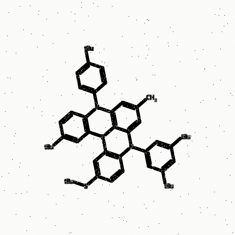 Cc1cc2c3c(c1)N(c1ccc(C(C)(C)C)cc1)c1ccc(C(C)(C)C)cc1B3c1cc(SC(C)(C)C)ccc1N2c1cc(C(C)(C)C)cc(C(C)(C)C)c1